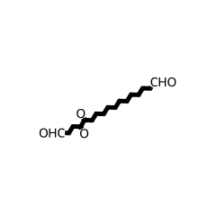 O=CCCCCCCCCCCCC(=O)C(=O)CCC=O